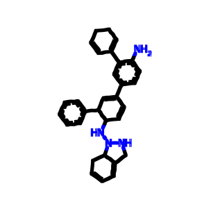 Nc1ccc(C2=CC(c3ccccc3)C(NN3NCC4=CC=CCC43)C=C2)cc1C1=CCCC=C1